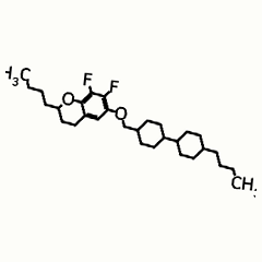 CCCCC1CCC(C2CCC(COc3cc4c(c(F)c3F)OC(CCCC)CC4)CC2)CC1